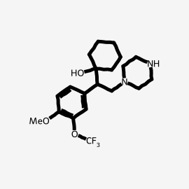 COc1ccc(C(CN2CCNCC2)C2(O)CCCCC2)cc1OC(F)(F)F